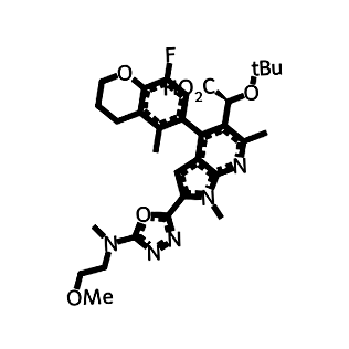 COCCN(C)c1nnc(-c2cc3c(-c4cc(F)c5c(c4C)CCCO5)c([C@H](OC(C)(C)C)C(=O)O)c(C)nc3n2C)o1